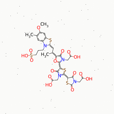 COc1cc2c(cc1C)N(CCCS(=O)(=O)O)C(=C/C(C)=c1/o/c(=c3/s/c(=C4/SC(=O)N(CC(=O)O)C4=O)n(CC(=O)O)c3=O)n(CC(=O)O)c1=O)S2